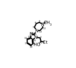 CCC(O)Cn1c(N2CCCN(C)CC2)nc2ccccc21